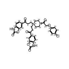 O=C(CC[N+]1(CCC(=O)c2ccc3[nH]c(=O)oc3c2)CCN(C(=O)COc2ccc(Cl)cc2)CC1)c1ccc2[nH]c(=O)oc2c1